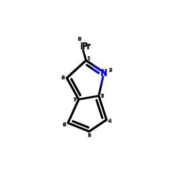 CC(C)C1=NC2=CC=CC2=C1